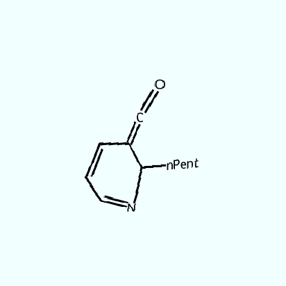 CCCCCC1N=CC=CC1=C=O